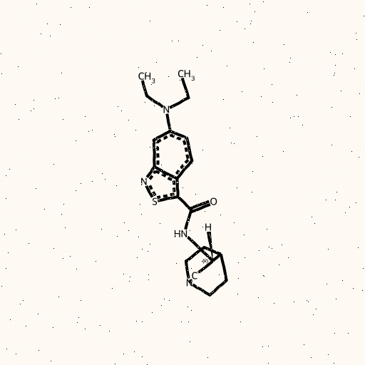 CCN(CC)c1ccc2c(C(=O)N[C@H]3CN4CCC3CC4)snc2c1